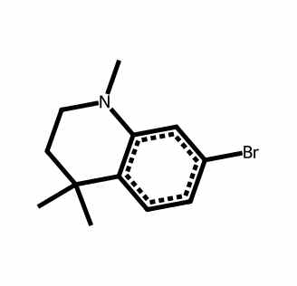 CN1CCC(C)(C)c2ccc(Br)cc21